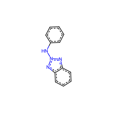 c1ccc(Nn2nc3ccccc3n2)cc1